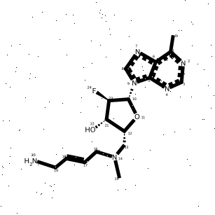 Cc1ncnc2c1ncn2[C@@H]1O[C@H](CN(C)C/C=C/CN)[C@H](O)[C@H]1F